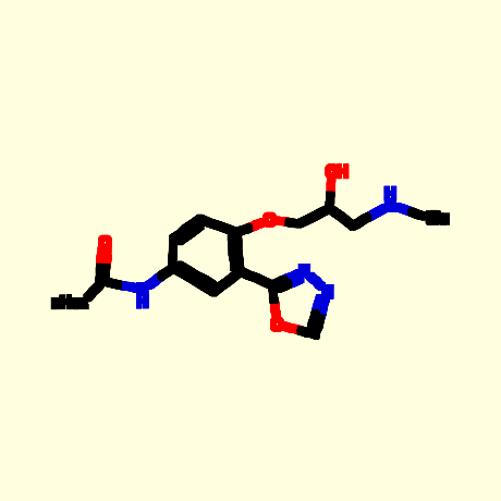 CCCCCCC(=O)Nc1ccc(OCC(O)CNC(C)(C)C)c(-c2nnco2)c1